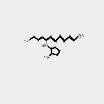 [CH2]C1CCCC1CCCCCC.[CH2]CCCCCCCCCCC